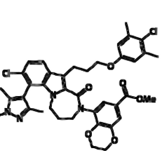 COC(=O)c1cc2c(c(N3CCCn4c(c(CCCOc5cc(C)c(Cl)c(C)c5)c5ccc(Cl)c(-c6c(C)nn(C)c6C)c54)C3=O)c1)OCCO2